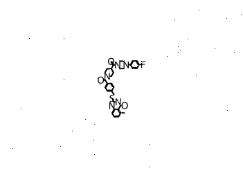 Cc1cccc2nc(SCc3ccc(C(=O)N4CCC(C(=O)N5CCN(c6ccc(F)cc6)CC5)CC4)cc3)n(C)c(=O)c12